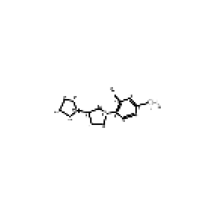 Cc1ccc(N2CC[C@@H](N3CCCC3)C2)c(F)c1